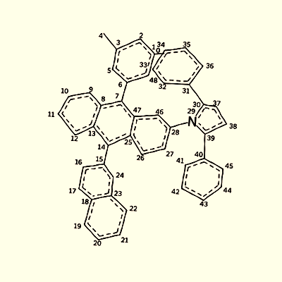 Cc1cc(C)cc(-c2c3ccccc3c(-c3ccc4ccccc4c3)c3ccc(-n4c(-c5ccccc5)ccc4-c4ccccc4)cc23)c1